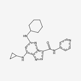 O=C(Nc1ccncc1)c1cnc2c(NC3CC3)cc(NC3CCCCC3)nn12